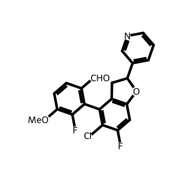 COc1ccc(C=O)c(-c2c(Cl)c(F)cc3c2CC(c2cccnc2)O3)c1F